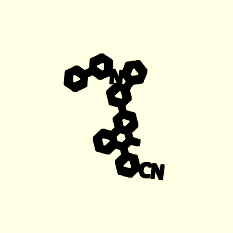 CC1c2ccc(-c3ccc4c(c3)c3ccccc3n4-c3cccc(-c4ccccc4)c3)cc2-c2ccccc2C1c1cccc(C#N)c1